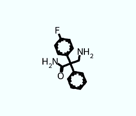 NCC(C(N)=O)(c1ccccc1)c1ccc(F)cc1